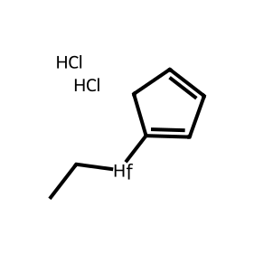 C[CH2][Hf][C]1=CC=CC1.Cl.Cl